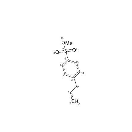 C=CCc1ccc(S(=O)(=O)OC)cc1